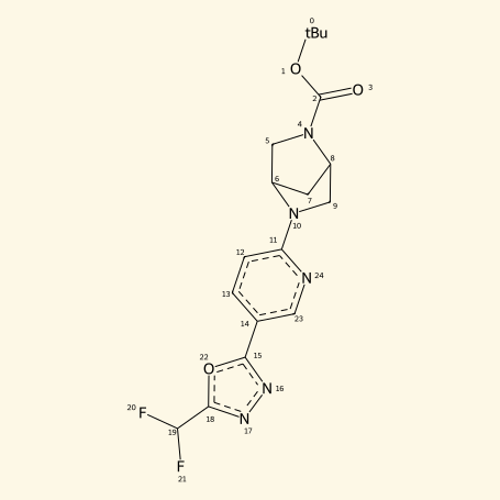 CC(C)(C)OC(=O)N1CC2CC1CN2c1ccc(-c2nnc(C(F)F)o2)cn1